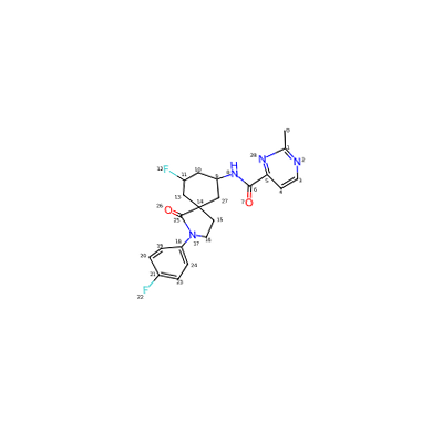 Cc1nccc(C(=O)NC2CC(F)CC3(CCN(c4ccc(F)cc4)C3=O)C2)n1